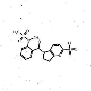 CN(c1ccccc1C(=O)N1CCc2nc(S(=O)(=O)Cl)ccc21)S(C)(=O)=O